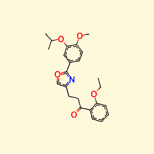 CCOc1ccccc1C(=O)CCc1coc(-c2ccc(OC)c(OC(C)C)c2)n1